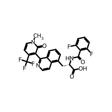 Cn1ccc(C(F)(F)F)c(-c2nccc3c(C[C@H](NC(=O)c4c(F)cccc4F)C(=O)O)cccc23)c1=O